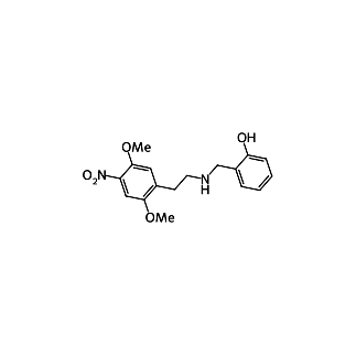 COc1cc([N+](=O)[O-])c(OC)cc1CCNCc1ccccc1O